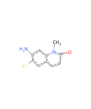 Cn1c(=O)ccc2cc(F)c(N)cc21